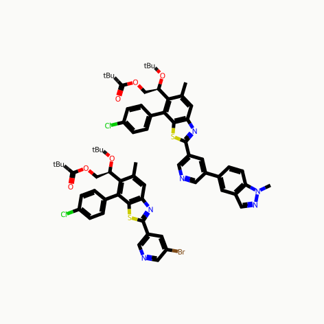 Cc1cc2nc(-c3cncc(-c4ccc5c(cnn5C)c4)c3)sc2c(-c2ccc(Cl)cc2)c1[C@@H](COC(=O)C(C)(C)C)OC(C)(C)C.Cc1cc2nc(-c3cncc(Br)c3)sc2c(-c2ccc(Cl)cc2)c1[C@@H](COC(=O)C(C)(C)C)OC(C)(C)C